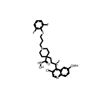 COc1ccc2ncc(Cl)c([C@H](F)CCC3(C(=O)NO)CCN(CCCSc4c(F)cccc4F)CC3)c2c1